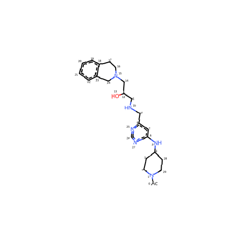 CC(=O)N1CCC(Nc2cc(CNCC(O)CN3CCc4ccccc4C3)ncn2)CC1